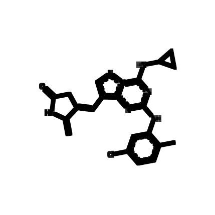 C=C1NC(=O)C/C1=C\c1cnn2c(NC3CC3)nc(Nc3cc(Cl)ccc3C)nc12